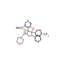 COc1cncc2c1C1(O)C(CN3CCOCC3)CC(c3ccccc3)C1(c1ccc(C(F)(F)F)cc1)O2